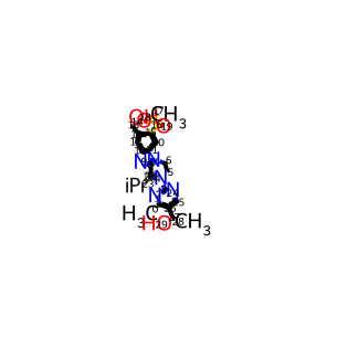 Cc1nc(N2CCn3c(nc4cc(CO)c(S(C)(=O)=O)cc43)[C@H]2C(C)C)ncc1C(C)O